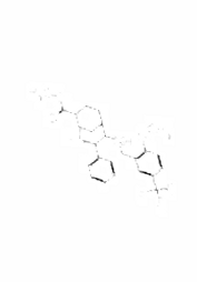 COC(=O)C1CCC2CC1NC(c1ccccc1)C2NCc1cc(C(F)(F)F)ccc1OC